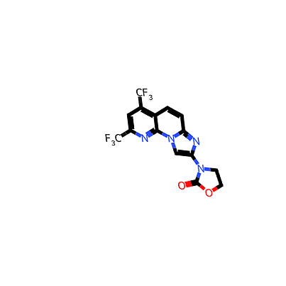 O=C1OCCN1c1cn2c(ccc3c(C(F)(F)F)cc(C(F)(F)F)nc32)n1